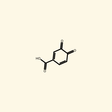 O=C(O)C1=CC(=O)C(=O)C=C1